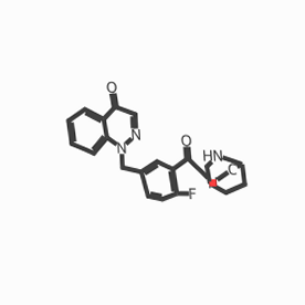 O=C(c1cc(Cn2ncc(=O)c3ccccc32)ccc1F)N1CC2CCC1CN2